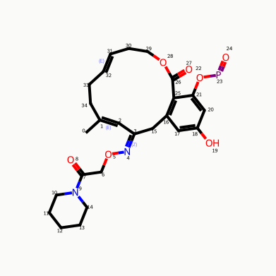 C/C1=C\C(=N/OCC(=O)N2CCCCC2)Cc2cc(O)cc(OP=O)c2C(=O)OCC/C=C/CC1